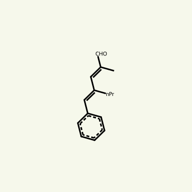 CCCC(/C=C(\C)C=O)=C\c1ccccc1